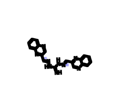 N=C(N/N=C/c1cnc2ccccc2n1)N/N=C/c1cnc2ccccc2n1